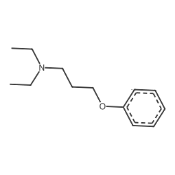 CCN(CC)CCCOc1[c]cccc1